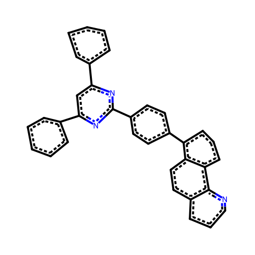 c1ccc(-c2cc(-c3ccccc3)nc(-c3ccc(-c4cccc5c4ccc4cccnc45)cc3)n2)cc1